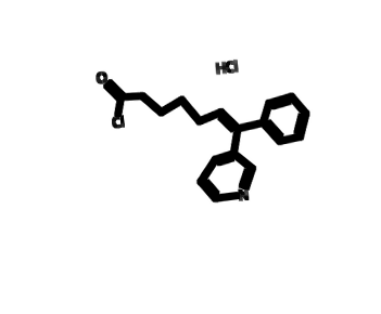 Cl.O=C(Cl)CCCCC=C(c1ccccc1)c1cccnc1